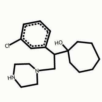 OC1(C(CN2CCNCC2)c2cccc(Cl)c2)CCCCCC1